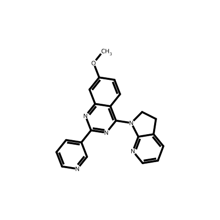 COc1ccc2c(N3CCc4cccnc43)nc(-c3cccnc3)nc2c1